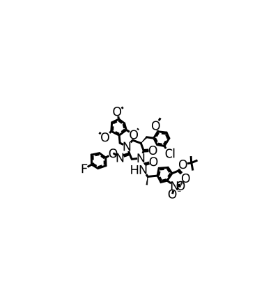 COc1cc(OC)c(CN2C[C@@H](Cc3cc(Cl)ccc3OC)C(=O)N(C(=O)N[C@H](C)c3ccc(C(=O)OC(C)(C)C)c([N+](=O)[O-])c3)CC2=NOc2ccc(F)cc2)c(OC)c1